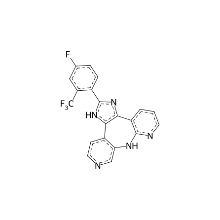 Fc1ccc(-c2nc3c([nH]2)-c2ccncc2Nc2ncccc2-3)c(C(F)(F)F)c1